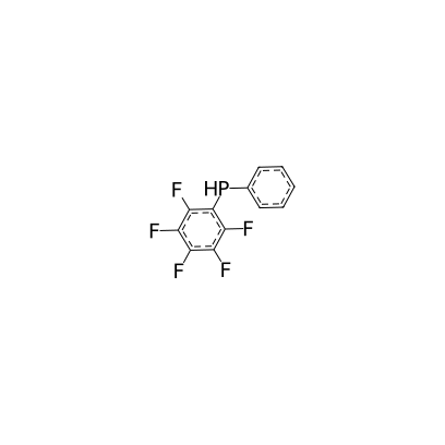 Fc1c(F)c(F)c(Pc2ccccc2)c(F)c1F